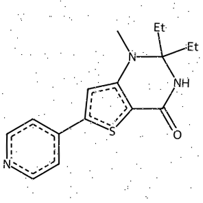 CCC1(CC)NC(=O)c2sc(-c3ccncc3)cc2N1C